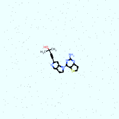 CC(C)(O)C#Cc1cc2c(ccn2-c2nc(N)nc3ccsc23)cn1